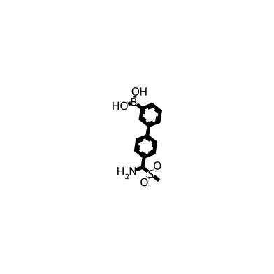 CS(=O)(=O)C(N)c1ccc(-c2cccc(B(O)O)c2)cc1